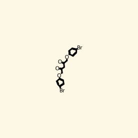 O=C(COc1ccc(Br)cc1)CC(=O)COc1ccc(Br)cc1